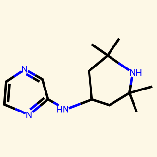 CC1(C)CC(Nc2cnccn2)CC(C)(C)N1